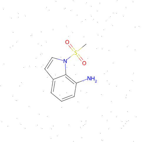 CS(=O)(=O)n1ccc2cccc(N)c21